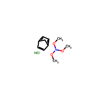 C1=CC2=CC=C1C2.CON(OC)OC.Cl